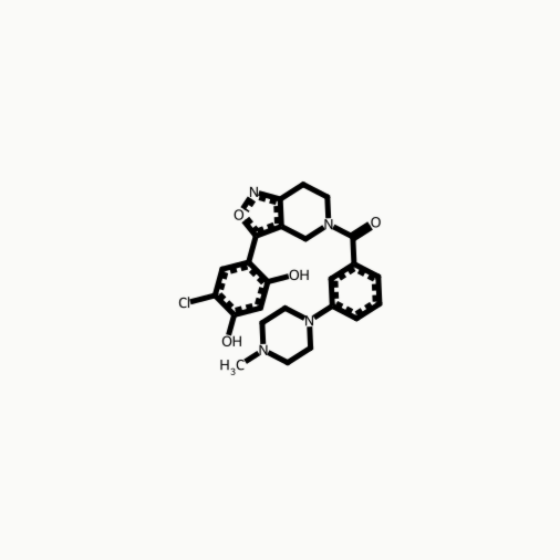 CN1CCN(c2cccc(C(=O)N3CCc4noc(-c5cc(Cl)c(O)cc5O)c4C3)c2)CC1